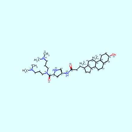 CN(C)CCCN(CCCN(C)C)C(=O)[C@@H]1C[C@H](NC(=O)CCC2CCC3C4CCC5C[C@H](O)CC[C@]5(C)C4CC[C@]23C)CN1